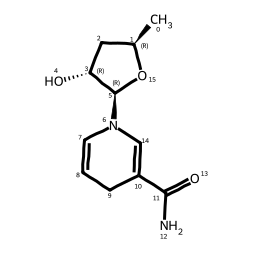 C[C@@H]1C[C@@H](O)[C@H](N2C=CCC(C(N)=O)=C2)O1